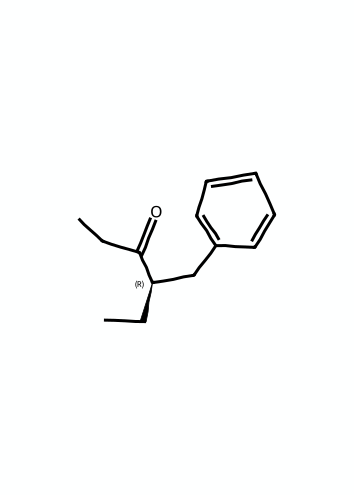 CCC(=O)[C@H](CC)Cc1ccccc1